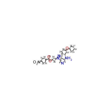 Nc1cncc2c1c(-c1ccc(Oc3ccccc3)cc1)nn2C1CC(OC(=O)c2ccc([N+](=O)[O-])cc2)C1